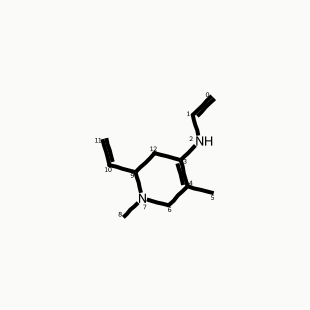 C=CNC1=C(C)CN(C)C(C=C)C1